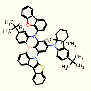 CC(C)(C)c1ccc2c(c1)[C@]1(C)CCCCC1(C)N2c1cc2c3c(c1)-n1c4sc5c(c4c4cccc(c41)B3C1=CCC(C(C)(C)C)C=C1N2c1cccc2c1oc1ccccc12)=CCCC=5